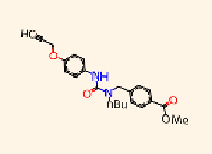 C#CCOc1ccc(NC(=O)N(CCCC)Cc2ccc(C(=O)OC)cc2)cc1